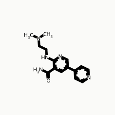 CN(C)CCNc1ncc(-c2ccncc2)cc1C(N)=O